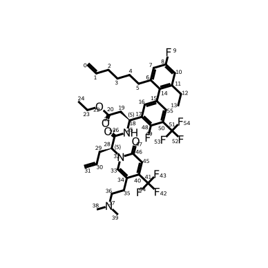 C=CCCCCc1cc(F)cc(CC)c1-c1cc([C@H](CC(=O)OCC)NC(=O)[C@H](CC=C)n2cc(CCN(C)C)c(C(F)(F)F)cc2=O)c(F)c(C(F)(F)F)c1